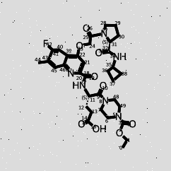 CCOC(=O)N1CCN(C(=O)[C@H](CCC(=O)O)NC(=O)c2cc(OCC(=O)N3CCC[C@H]3C(=O)NC3CCC3)c3cc(F)c(C)cc3n2)CC1